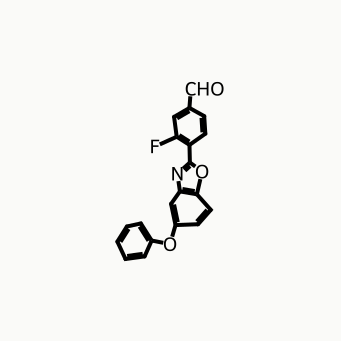 O=Cc1ccc(-c2nc3cc(Oc4ccccc4)ccc3o2)c(F)c1